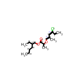 C=C/C(Cl)=C\C(C)=C\OC(C)C(=O)OCC(CC)CCCC